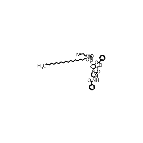 CCCCCCCCCCCCCCCCCCOP(=O)(OCCC#N)OC[C@H]1S[C@@H](n2ccc(NC(=O)c3ccccc3)nc2=O)[C@@H](F)[C@@H]1OC(=O)c1ccccc1